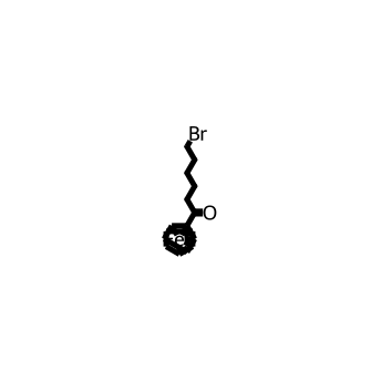 O=C(CCCCCBr)[C]12[CH]3[CH]4[CH]5[CH]1[Fe]45321678[CH]2[CH]1[CH]6[CH]7[CH]28